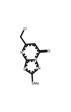 CSc1nn2c(=O)cc(CCl)nc2s1